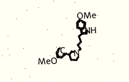 COc1cccc(C2CCCN(CCCCc3c[nH]c4cc(OC)ccc34)C2)c1